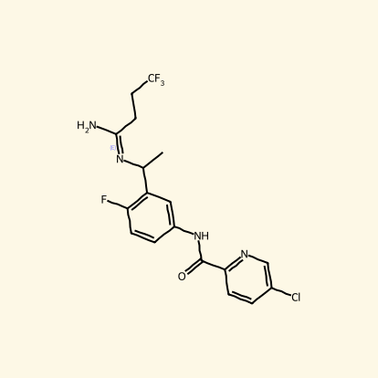 CC(/N=C(/N)CCC(F)(F)F)c1cc(NC(=O)c2ccc(Cl)cn2)ccc1F